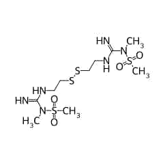 CN(C(=N)NCCSSCCNC(=N)N(C)S(C)(=O)=O)S(C)(=O)=O